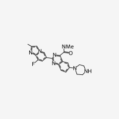 CNC(=O)c1nc(-c2cc(F)c3nc(C)cn3c2)nc2ccc(N3CCNCC3)cc12